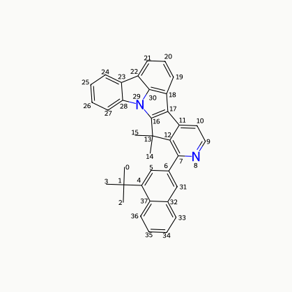 CC(C)(C)c1cc(-c2nccc3c2C(C)(C)c2c-3c3cccc4c5ccccc5n2c34)cc2ccccc12